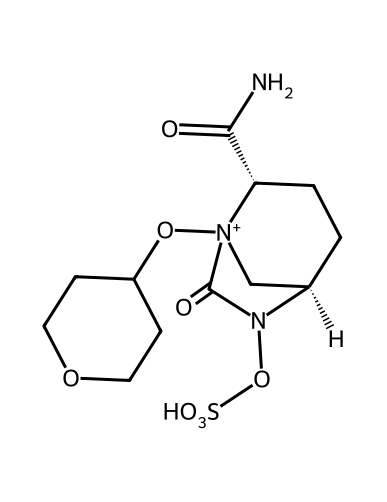 NC(=O)[C@@H]1CC[C@@H]2C[N+]1(OC1CCOCC1)C(=O)N2OS(=O)(=O)O